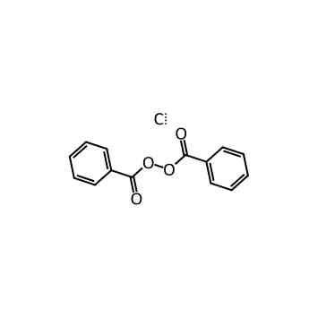 O=C(OOC(=O)c1ccccc1)c1ccccc1.[C]